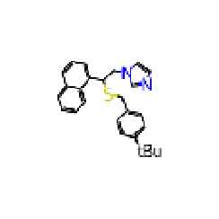 CC(C)(C)c1ccc(CSC(Cn2ccnc2)c2cccc3ccccc23)cc1